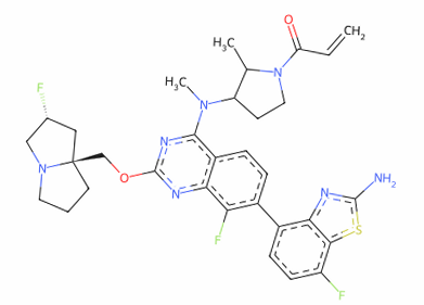 C=CC(=O)N1CCC(N(C)c2nc(OC[C@@]34CCCN3C[C@H](F)C4)nc3c(F)c(-c4ccc(F)c5sc(N)nc45)ccc23)C1C